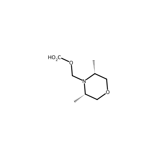 C[C@@H]1COC[C@H](C)N1COC(=O)O